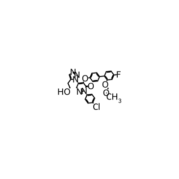 COCOc1cc(F)ccc1-c1ccc(Oc2c(-n3nncc3CCO)cnn(-c3ccc(Cl)cc3)c2=O)cc1